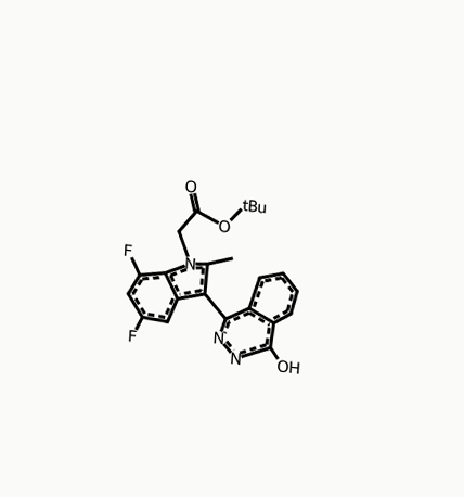 Cc1c(-c2nnc(O)c3ccccc23)c2cc(F)cc(F)c2n1CC(=O)OC(C)(C)C